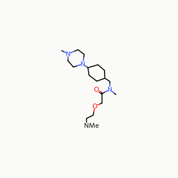 CNCCOCC(=O)N(C)CC1CCC(N2CCN(C)CC2)CC1